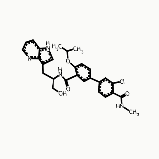 CNC(=O)c1ccc(-c2ccc(OC(C)C)c(C(=O)N[C@@H](CO)Cc3c[nH]c4cccnc34)c2)cc1Cl